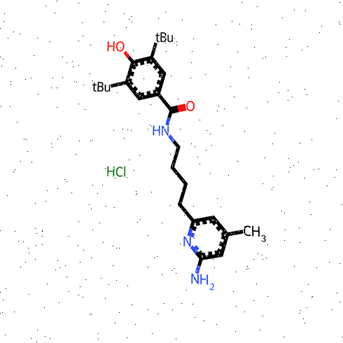 Cc1cc(N)nc(CCCCNC(=O)c2cc(C(C)(C)C)c(O)c(C(C)(C)C)c2)c1.Cl